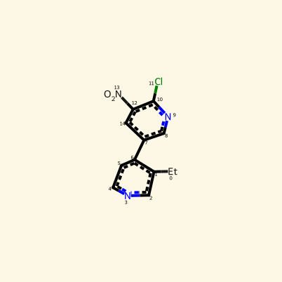 CCc1cnccc1-c1cnc(Cl)c([N+](=O)[O-])c1